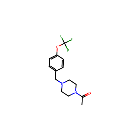 CC(=O)N1CCN(Cc2ccc(OC(F)(F)F)cc2)CC1